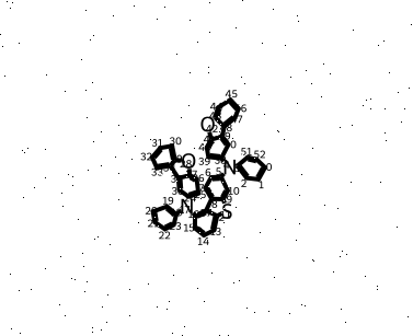 c1ccc(N(c2ccc3c(c2)sc2cccc(N(c4ccccc4)c4ccc5oc6ccccc6c5c4)c23)c2ccc3oc4ccccc4c3c2)cc1